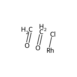 C=O.C=O.[Cl][Rh]